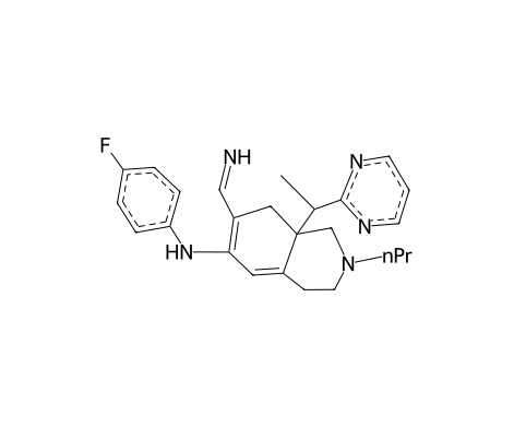 CCCN1CCC2=CC(Nc3ccc(F)cc3)=C(C=N)CC2(C(C)c2ncccn2)C1